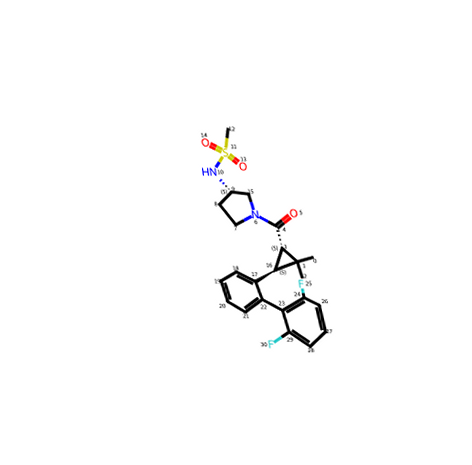 CC1(C)[C@@H](C(=O)N2CC[C@H](NS(C)(=O)=O)C2)[C@@H]1c1ccccc1-c1c(F)cccc1F